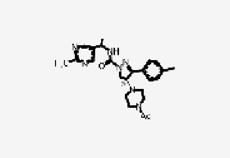 CC(=O)N1CCN([C@@H]2CN(C(=O)NC(C)c3cnc(C(F)(F)F)nc3)N=C2c2ccc(C)cc2)CC1